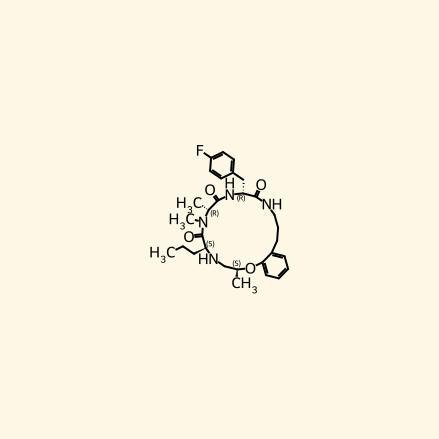 CCC[C@@H]1NC[C@H](C)Oc2ccccc2CCCNC(=O)[C@@H](Cc2ccc(F)cc2)NC(=O)[C@@H](C)N(C)C1=O